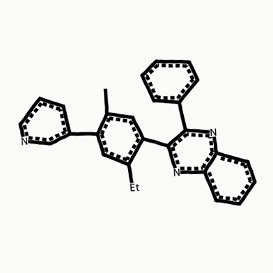 CCc1cc(-c2cccnc2)c(C)cc1-c1nc2ccccc2nc1-c1ccccc1